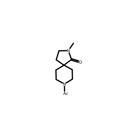 CC(=O)N1CCC2(CCN(C)C2=O)CC1